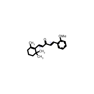 COc1ccccc1/C=C/C(=O)/C=C/C1=C(C)CCCC1(C)C